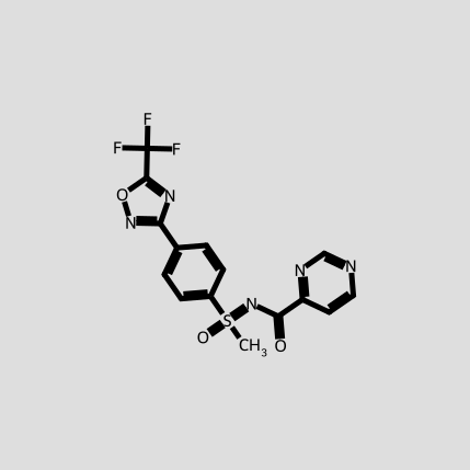 CS(=O)(=NC(=O)c1ccncn1)c1ccc(-c2noc(C(F)(F)F)n2)cc1